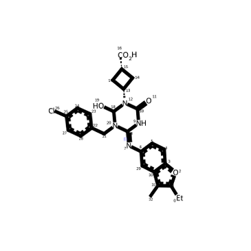 CCc1oc2ccc(/N=C3\NC(=O)N([C@H]4C[C@@H](C(=O)O)C4)C(O)N3Cc3ccc(Cl)cc3)cc2c1C